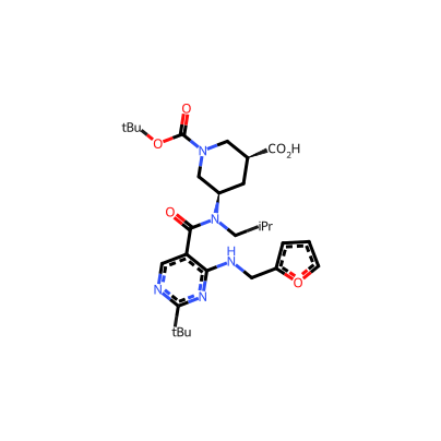 CC(C)CN(C(=O)c1cnc(C(C)(C)C)nc1NCc1ccco1)[C@@H]1C[C@H](C(=O)O)CN(C(=O)OC(C)(C)C)C1